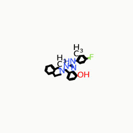 Cc1cc(F)ccc1Nc1nc(N2CCc3ccccc3C2C)c2cccc(O)c2n1